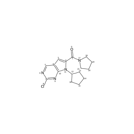 O=C(c1cc2cnc(Cl)nc2n1C1CCCC1)N1CCCC1